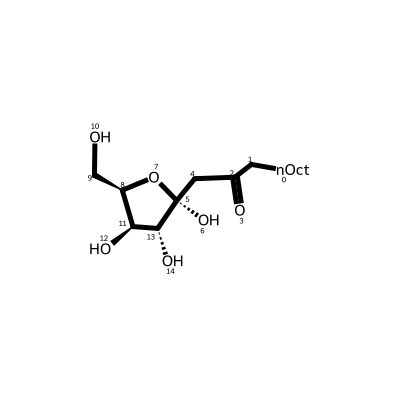 CCCCCCCCCC(=O)C[C@]1(O)O[C@H](CO)[C@H](O)[C@H]1O